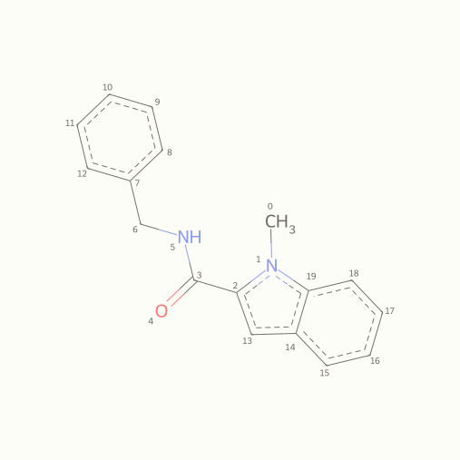 Cn1c(C(=O)NCc2ccccc2)cc2ccccc21